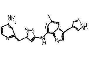 Cc1cn2c(-c3cn[nH]c3)cnc2c(Nc2cc(Cc3cc(N)ccn3)ns2)n1